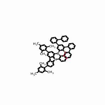 Cc1cc(C)c(-c2ccc3c(c2)c2cc(-c4c(C)cc(C)cc4C)cc4c2n3-c2cccc3c2B4c2cc(-c4ccccc4-c4ccccc4)cc(-c4ccccc4-c4ccccc4)c2O3)c(C)c1